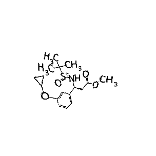 COC(=O)C[C@H](N[S+]([O-])C(C)(C)C)c1cccc(OC2CC2)c1